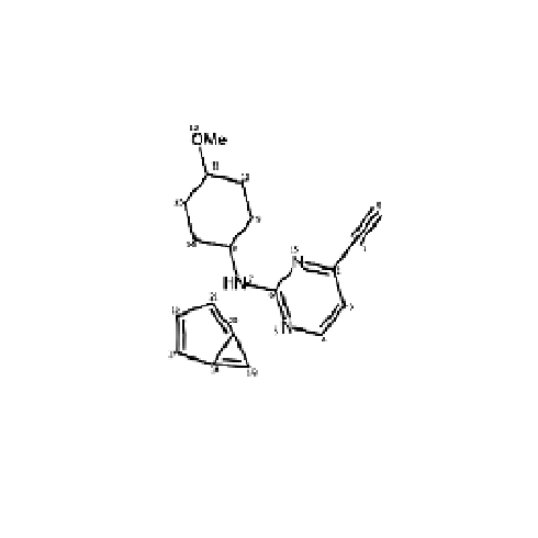 C#Cc1ccnc(NC2CCC(OC)CC2)n1.c1cc2cc-2c1